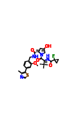 COc1cc(-c2scnc2C)ccc1CNC(=O)[C@@H]1C[C@@H](O)CN1C(=O)[C@@H](NC(=O)C1(F)CC1)C(C)(C)C